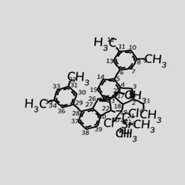 CCC1=Cc2c(-c3cc(C)cc(C)c3)cccc2[CH]1[Zr]([Cl])([Cl])([CH]1C(CC)=Cc2c(-c3cc(C)cc(C)c3)cccc21)[SiH](C)C